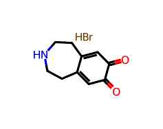 Br.O=C1C=C2CCNCCC2=CC1=O